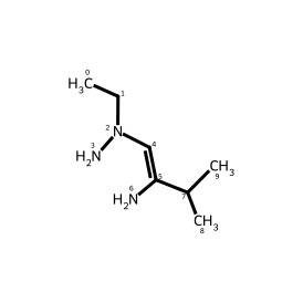 CCN(N)/C=C(\N)C(C)C